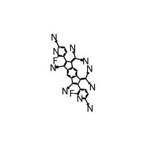 N#CC(C#N)=C1C(c2ccc(C#N)nc2F)=C(C#N)c2cc3c(cc21)C(=C(C#N)C#N)C(c1ccc(C#N)nc1F)=C3C#N